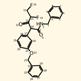 O=C(NCc1ccccc1)C(C(=O)C(F)CF)c1cccc(OCc2ccccc2)c1